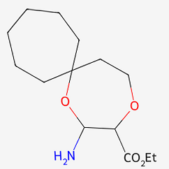 CCOC(=O)C1OCCC2(CCCCCC2)OC1N